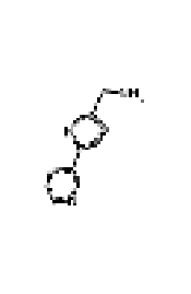 NCc1ccc(-c2cccnc2)nc1